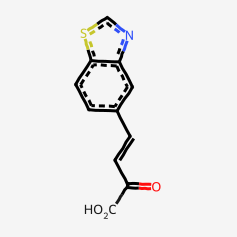 O=C(O)C(=O)C=Cc1ccc2scnc2c1